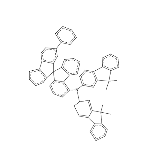 CC1(C)C2=CC(N(c3ccc4c(c3)C(C)(C)c3ccccc3-4)c3cccc4c3-c3ccccc3C43c4ccccc4-c4ccc(-c5ccccc5)cc43)CC=C2c2ccccc21